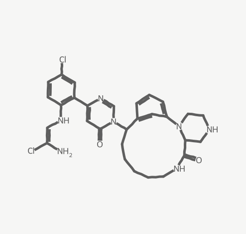 N/C(Cl)=C\Nc1ccc(Cl)cc1-c1cc(=O)n(C2CCCCCNC(=O)C3CNCCN3c3cccc2c3)cn1